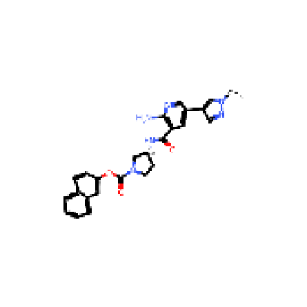 Cn1cc(-c2cnc(N)c(C(=O)N[C@@H]3CCN(C(=O)Oc4ccc5ccccc5c4)C3)c2)cn1